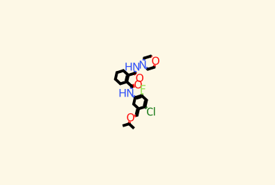 CC(C)OC=C1CC(NC(=O)C2=C(C(=O)NN3CCOCC3)CCCC2)=C(F)C=C1Cl